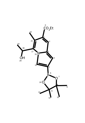 CCOC(=O)c1cc2cc(B3OC(C)(C)C(C)(C)O3)cn2c(C(C)O)c1C